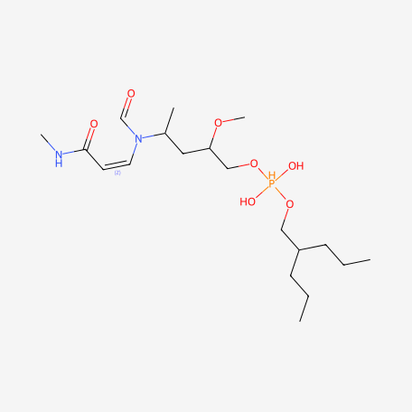 CCCC(CCC)CO[PH](O)(O)OCC(CC(C)N(C=O)/C=C\C(=O)NC)OC